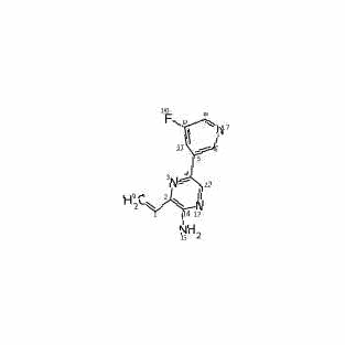 C=Cc1nc(-c2cncc(F)c2)cnc1N